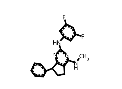 CNc1nc(Nc2cc(F)cc(F)c2)nc2c1CCC2c1ccccc1